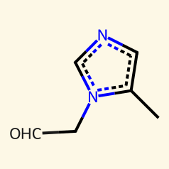 Cc1cncn1CC=O